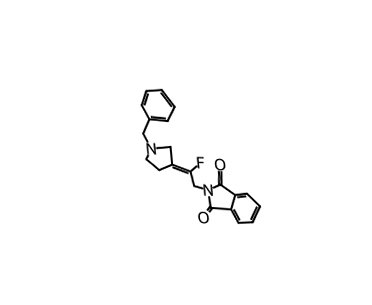 O=C1c2ccccc2C(=O)N1CC(F)=C1CCN(Cc2ccccc2)C1